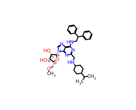 COC[C@H]1O[C@@H](n2cnc3c(NCC(c4ccccc4)c4ccccc4)nc(CNC4CCC(C(C)C)CC4)nc32)[C@@H](O)[C@H]1O